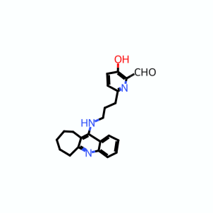 O=Cc1nc(CCCNc2c3c(nc4ccccc24)CCCCC3)ccc1O